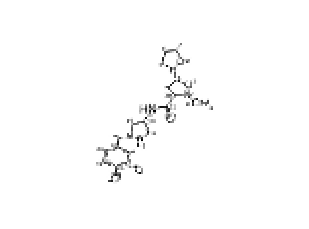 CN1OC(C2CCCO2)CC1C(=O)NC1CNN(Cc2ccc(Cl)c(Cl)c2)C1